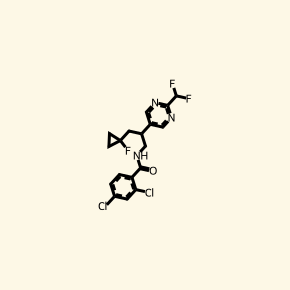 O=C(NCC(CC1(F)CC1)c1cnc(C(F)F)nc1)c1ccc(Cl)cc1Cl